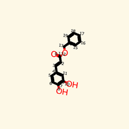 O=C(C=Cc1ccc(O)c(O)c1)OCc1ccccc1